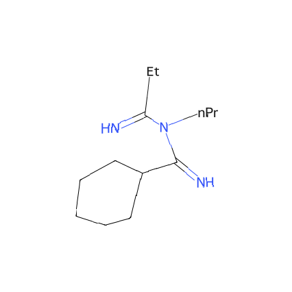 CCCN(C(=N)CC)C(=N)C1CCCCC1